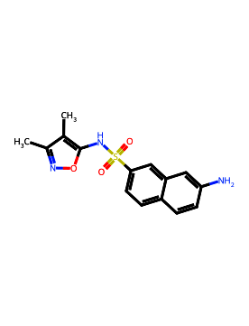 Cc1noc(NS(=O)(=O)c2ccc3ccc(N)cc3c2)c1C